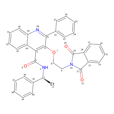 CC[C@H](NC(=O)c1c(OCCN2C(=O)c3ccccc3C2=O)c(-c2ccccc2)nc2ccccc12)c1ccccc1